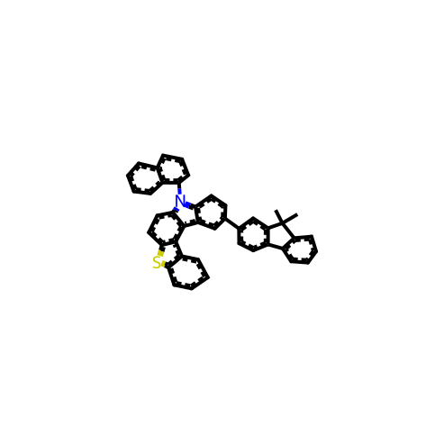 CC1(C)c2ccccc2-c2ccc(-c3ccc4c(c3)c3c5c(ccc3n4-c3cccc4ccccc34)sc3ccccc35)cc21